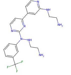 NCCNc1cc(-c2ccnc(N(NCCN)c3cccc(C(F)(F)F)c3)n2)ccn1